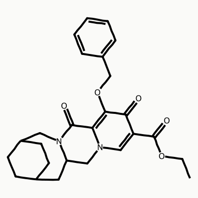 CCOC(=O)c1cn2c(c(OCc3ccccc3)c1=O)C(=O)N1CC3CCC(CC3)CC1C2